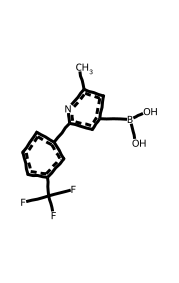 Cc1cc(B(O)O)cc(-c2cccc(C(F)(F)F)c2)n1